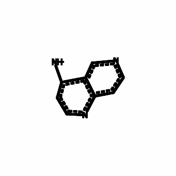 [NH]c1ccnc2ccncc12